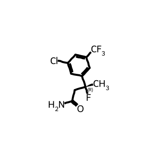 C[C@@](F)(CC(N)=O)c1cc(Cl)cc(C(F)(F)F)c1